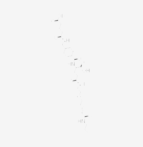 CCCNC(=O)COCCOCCNC(=O)CCC(NC(=O)C1CCC(CNC(=O)CCCC(=O)O)CC1)C(=O)O